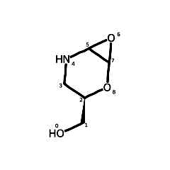 OC[C@H]1CNC2OC2O1